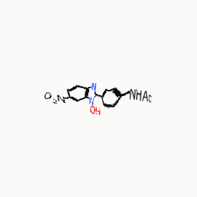 CC(=O)Nc1ccc(-c2nc3ccc([N+](=O)[O-])cc3n2O)cc1